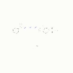 CC1(C)C(/C=C/C=C/C=C/Nc2ccccc2)=[N+](CCCCCC(=O)O)c2ccc(S(=O)(=O)O)cc21